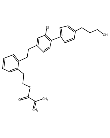 C=C(C)C(=O)OCCc1ccccc1CCc1ccc(-c2ccc(CCCO)cc2)c(CC)c1